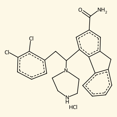 Cl.NC(=O)c1cc2c(c(C(Cc3cccc(Cl)c3Cl)N3CCNCC3)c1)-c1ccccc1C2